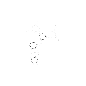 N[C@@H]1C[C@H](N)CN(c2nc(Nc3cccc(O)c3NS(=O)(=O)c3ccccc3)nc(N3C[C@H](N)C[C@H](N)C3)n2)C1